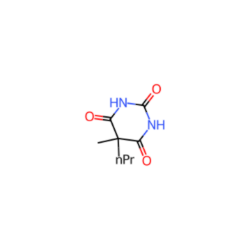 CCCC1(C)C(=O)NC(=O)NC1=O